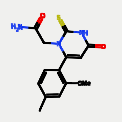 COc1cc(C)ccc1-c1cc(=O)[nH]c(=S)n1CC(N)=O